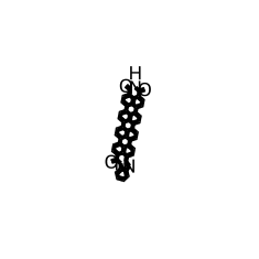 O=C1NC(=O)c2ccc3c4ccc5c6ccc7c8ccc9c%10c(ccc(c%11ccc(c%12ccc(c%13ccc1c2c%133)c4c%125)c6c%117)c8%10)c(=O)n1c2ccccc2nc91